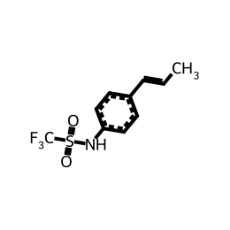 C/C=C/c1ccc(NS(=O)(=O)C(F)(F)F)cc1